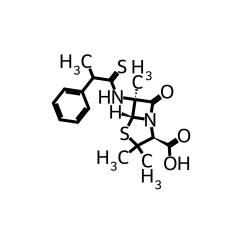 CC(C(=S)N[C@@]1(C)C(=O)N2[C@@H](C(=O)O)C(C)(C)S[C@@H]21)c1ccccc1